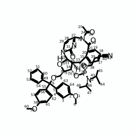 COc1ccc(C(OC[C@H]2O[C@@H]3[C@H](C(=O)c4ccccc4C(=O)N(C(C)=O)c4ccn3c(=O)n4)[C@@H]2OP(OCCC#N)N(C(C)C)C(C)C)(c2ccccc2)c2ccc(OC)cc2)cc1